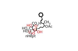 CCCCCCCC(=O)O[C@@H]1[C@@H](O)[C@@]2(CCCC(OC(C)=O)C(C)C/C=C/c3ccccc3)O[C@H](C(=O)O)[C@@](O)(C(=O)O)[C@]1(C(=O)O)O2